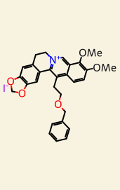 COc1ccc2c(CCOCc3ccccc3)c3[n+](cc2c1OC)CCc1cc2c(cc1-3)OCO2.[I-]